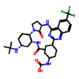 CC(=O)N[C@@H]1C[C@H](NC(C)(C)C)CC[C@@H]1N1CCC(Nc2nc(C3CCC(NC(=O)O)CC3)nc3ccc(C(F)(F)F)cc23)C1=O